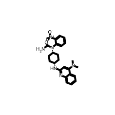 CN(C)c1cc(N[C@H]2CC[C@@H](N(C(N)=O)c3ccccc3[N+](=O)[O-])CC2)nc2ccccc12